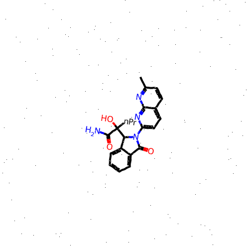 CCCC(O)(C(N)=O)C1c2ccccc2C(=O)N1c1ccc2ccc(C)nc2n1